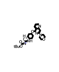 C/C(=N\C(=O)OC(C)(C)C)N[C@H]1CC[C@@H](Oc2nc(N3CCOCC3)cc3ncccc23)CC1